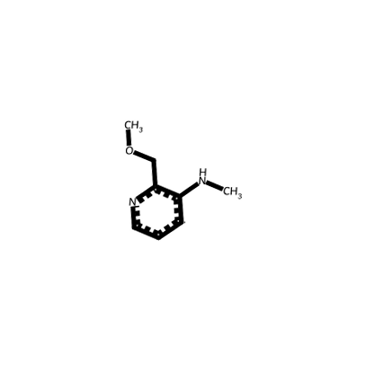 CNc1[c]ccnc1COC